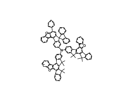 CC1(C)c2ccccc2-c2c1c1c(c3c2oc2ccccc23)-c2ccc(N(c3ccc4c(c3)C(C)(C)c3c5c(c6oc7ccccc7c6c3-4)-c3ccccc3C5(C)C)c3ccc4c(c3)C3(c5ccccc5-c5ccccc53)c3cc(-c5ccccc5)c5oc6ccccc6c5c3-4)cc2C1(C)C